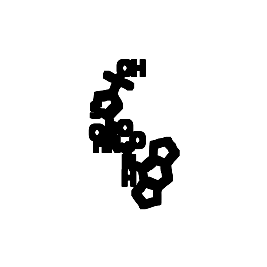 CC(C)(O)c1csc(S(=O)(=O)NC(=O)Nc2c3c(cc4c2CCC4)CCC3)c1